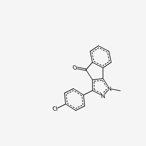 Cn1nc(-c2ccc(Cl)cc2)c2c1-c1ccccc1C2=O